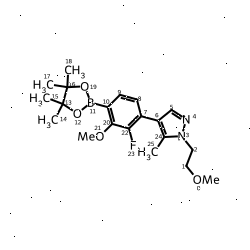 COCCn1ncc(-c2ccc(B3OC(C)(C)C(C)(C)O3)c(OC)c2F)c1C